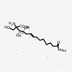 CCCCCCC(=O)CCCCCC/C=C/C[C@@H](O)[C@H](O)C(N)(CO)C(=O)O